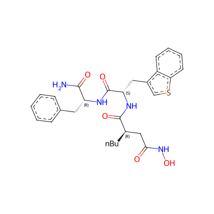 CCCC[C@H](CC(=O)NO)C(=O)N[C@@H](Cc1csc2ccccc12)C(=O)N[C@H](Cc1ccccc1)C(N)=O